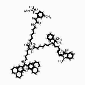 COP(=O)(O)Oc1ccc(C)cc1C(F)C(=O)NCCCCCCNC(=O)C(CCCCNC1=C2C=C3CCCN4CCCC(=C2Oc2c1cc1c5c2CCCN5CCC1)C34)NC(=O)CCCCC[N+]1=C(/C=C/C=C/C=C2/N(C)c3ccccc3C2(C)C)C(C)(C)c2ccccc21